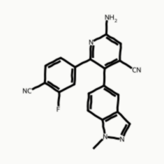 Cn1ncc2cc(-c3c(C#N)cc(N)nc3-c3ccc(C#N)c(F)c3)ccc21